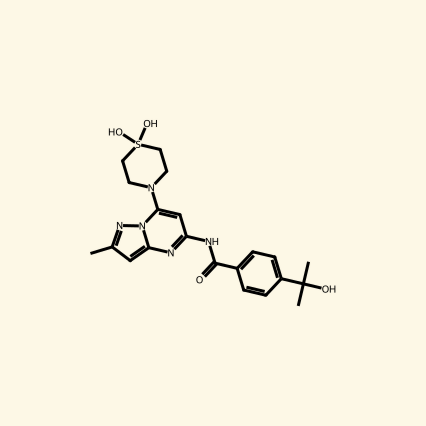 Cc1cc2nc(NC(=O)c3ccc(C(C)(C)O)cc3)cc(N3CCS(O)(O)CC3)n2n1